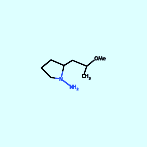 COC(C)CC1CCCN1N